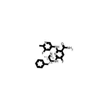 Cc1ncc(Nc2nc(N[C@H](Cc3ccccc3)[C@H](C)N)c(F)cc2C(N)=O)cc1F